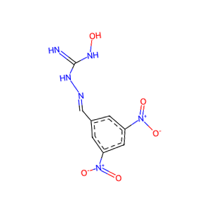 N=C(NO)NN=Cc1cc([N+](=O)[O-])cc([N+](=O)[O-])c1